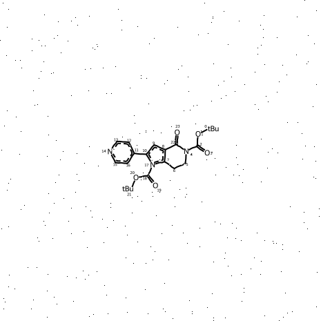 CC(C)(C)OC(=O)N1CCc2c(cc(-c3ccncc3)n2C(=O)OC(C)(C)C)C1=O